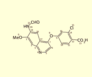 COc1cc2nccc(Oc3ccc(C(=O)O)c(Cl)c3)c2cc1NC=O